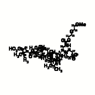 C=C(C)[C@@H]1CC[C@]2(NC[C@H](CNC(=O)OCCOCCOC)N3CCS(=O)(=O)CC3)CC[C@]3(C)[C@H](CC[C@@H]4[C@@]5(C)CC[C@H](OC(=O)[C@H]6C[C@@H](C(=O)O)C6(C)C)C(C)(C)[C@@H]5CC[C@]43C)[C@@H]12